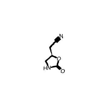 N#CC[C@@H]1CNC(=O)O1